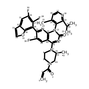 C=CC(=O)N1CCN(c2nc(=O)n(-c3c(C)ccnc3C(C)C)c3nc(-c4c(F)c(F)cc5ccoc45)c(F)cc23)[C@@H](C)C1